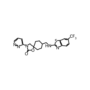 O=C1OC2(CCC(CNc3nc4ccc(C(F)(F)F)cc4s3)CC2)CN1c1cccnn1